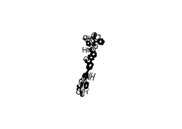 COC(=O)N[C@H](C(=O)N1C[C@@H](C)C[C@H]1c1ncc(-c2ccc3c(c2)COc2cc4c(ccc5nc([C@@H]6C[C@H](CO)CN6C(=O)[C@H](NC(=O)OC)c6ccccc6)[nH]c54)cc2-3)[nH]1)C(C)C